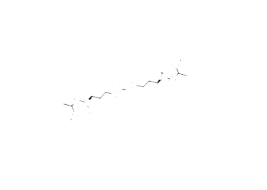 COC(C)O/P(=S)=C/CCSSSSCC/C=P(=S)/OC(C)OC